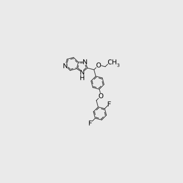 CCOC(c1ccc(OCc2cc(F)ccc2F)cc1)c1nc2ccncc2[nH]1